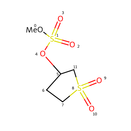 COS(=O)(=O)OC1CCS(=O)(=O)C1